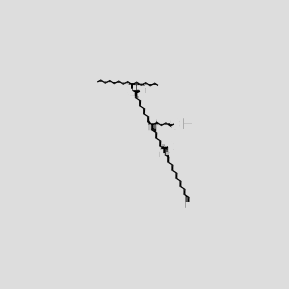 CCCCCCCCC(CCCCCC)OC(=O)CCCCCCCN(CCCCO)CCCCCC(=O)OCCCCCCCCCCCF